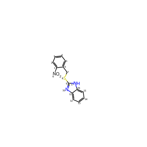 O=[N+]([O-])c1ccccc1CSc1nc2ccccc2[nH]1